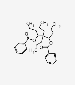 CCCC(OC(=O)c1ccccc1)C(CCC)(CCC)C(CCC)OC(=O)c1ccccc1